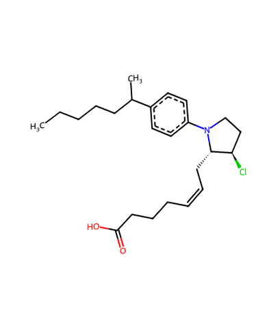 CCCCCC(C)c1ccc(N2CC[C@@H](Cl)[C@@H]2C/C=C\CCCC(=O)O)cc1